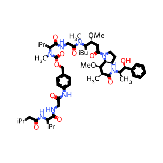 CCC(C)C([C@@H](CC(=O)N1CCC[C@H]1[C@H](OC)[C@@H](C)C(=O)N[C@H](C)[C@@H](O)c1ccccc1)OC)N(C)C(=O)CNC(=O)C(C(C)C)N(C)C(=O)OCc1ccc(NC(=O)CNC(=O)C(NC(=O)CC(C)C)C(C)C)cc1